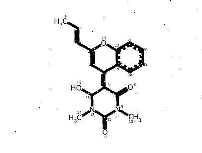 C/C=C/C1=CC(=C2/C(=O)N(C)C(=O)N(C)C2O)/c2ccccc2O1